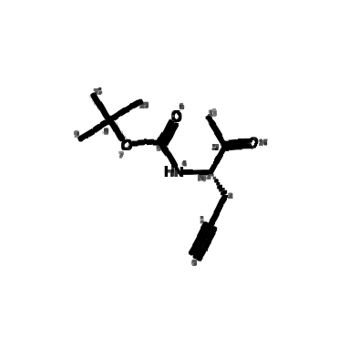 C#CC[C@H](NC(=O)OC(C)(C)C)C(C)=O